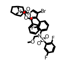 COCN(c1cccc(-c2nn(C3CC4CCC(C3)N4C(=O)OCc3ccccc3)cc2Br)c1F)S(=O)(=O)c1cc(F)ccc1F